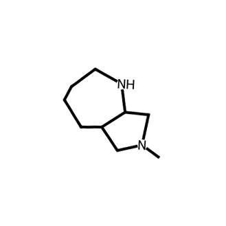 CN1CC2CCCCNC2C1